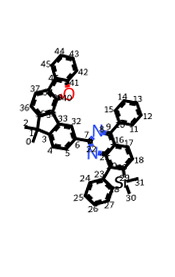 CC1(C)c2ccc(-c3nc(-c4ccccc4)c4ccc5c(c4n3)-c3ccccc3[Si]5(C)C)cc2-c2c1ccc1c2oc2ccccc21